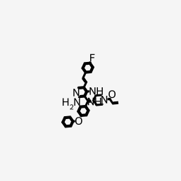 C=CC(=O)N1CCCC(Nc2c(/C=C/c3ccc(F)cc3)cnc(N)c2C(=N)c2ccc(Oc3ccccc3)cc2)C1